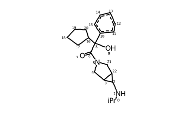 CC(C)NC1C2CN(C(=O)C(O)(c3ccccc3)C3CCCC3)CC21